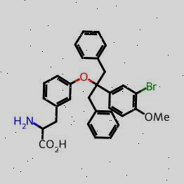 COc1ccc(C(Cc2ccccc2)(Cc2ccccc2)Oc2cccc(CC(N)C(=O)O)c2)cc1Br